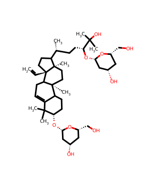 C=C[C@@]12CCC([C@H](C)CC[C@@H](O[C@H]3C[C@@H](O)C[C@@H](CO)O3)C(C)(C)O)[C@@]1(C)CC[C@@]1(C)C3CC[C@H](O[C@H]4C[C@@H](O)C[C@@H](CO)O4)C(C)(C)C3=CCC12